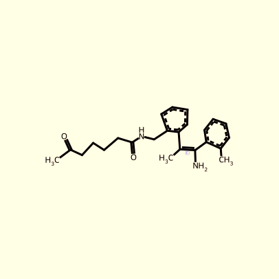 CC(=O)CCCCC(=O)NCc1ccccc1/C(C)=C(/N)c1ccccc1C